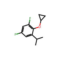 CC(C)c1cc(F)cc(F)c1OC1CC1